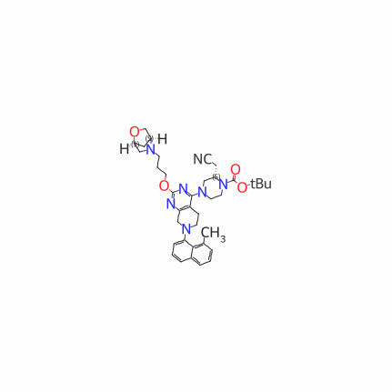 Cc1cccc2cccc(N3CCc4c(nc(OCCCN5C[C@@H]6C[C@H]5CO6)nc4N4CCN(C(=O)OC(C)(C)C)[C@@H](CC#N)C4)C3)c12